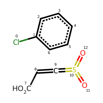 Clc1ccccc1.O=C(O)C=C=S(=O)=O